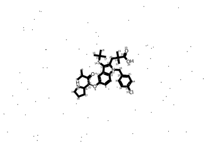 CC(C)C(=O)[C@@H](Oc1ccc2c(c1)c(SC(C)(C)C)c(CC(C)(C)C(=O)O)n2Cc1ccc(Cl)cc1)C1CCCN1